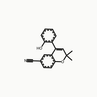 CC1(C)C=C(c2ccccc2O)c2cc(C#N)ccc2O1